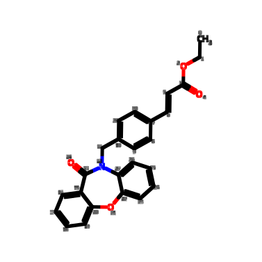 CCOC(=O)/C=C/c1ccc(CN2C(=O)c3ccccc3Oc3ccccc32)cc1